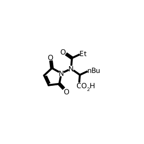 CCCCC(C(=O)O)N(C(=O)CC)N1C(=O)C=CC1=O